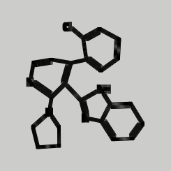 Clc1ccccc1-c1ccnc(N2CCCC2)c1-c1nc2ccccc2[nH]1